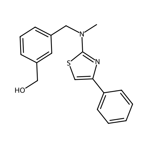 CN(Cc1cccc(CO)c1)c1nc(-c2ccccc2)cs1